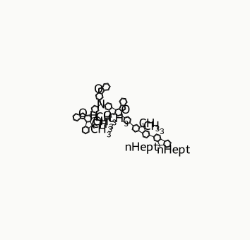 CCCCCCCC1(CCCCCCC)c2ccccc2-c2ccc(-c3ccc4c(c3)C(C)(C)c3cc(-c5ccc(-c6cc7c(c8c6oc6ccccc68)-c6ccc(N(c8ccc9c(c8)C(C)(C)c8c%10c(c%11c(oc%12ccccc%12%11)c8-9)-c8ccccc8C%10(C)C)c8ccc9oc%10ccccc%10c9c8)cc6C7(C)C)cc5)ccc3-4)cc21